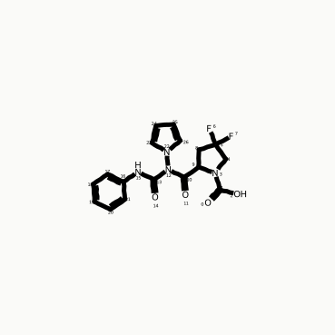 O=C(O)N1CC(F)(F)CC1C(=O)N(C(=O)Nc1ccccc1)n1cccc1